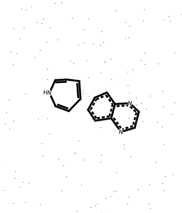 C1=CC=CNC=C1.c1ccc2nccnc2c1